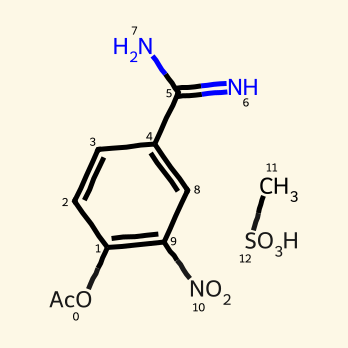 CC(=O)Oc1ccc(C(=N)N)cc1[N+](=O)[O-].CS(=O)(=O)O